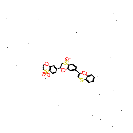 O=S1(=O)CCOc2cc(C3C[S+]([O-])c4ccc(C5CSc6ccccc6O5)cc4O3)ccc21